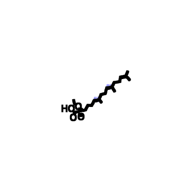 CCOP(=O)(CCC/C=C(\C)CC/C=C(\C)CCC=C(C)C)C(=O)O